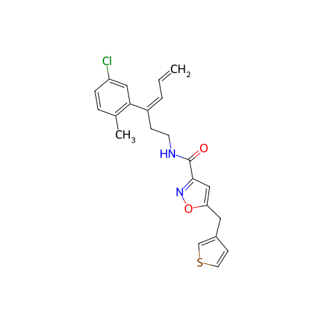 C=C/C=C(/CCNC(=O)c1cc(Cc2ccsc2)on1)c1cc(Cl)ccc1C